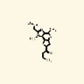 CCNCc1nc2c(N)nc3cc(C(=N)/C=C\N)sc3c2n1C